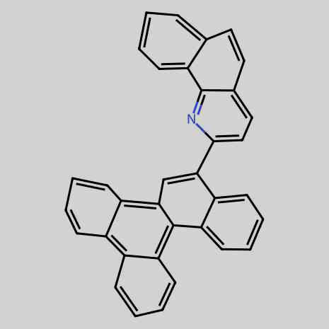 c1ccc2c(c1)ccc1ccc(-c3cc4c5ccccc5c5ccccc5c4c4ccccc34)nc12